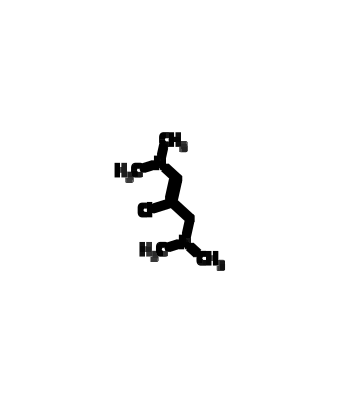 CN(C)/C=C(\Cl)CN(C)C